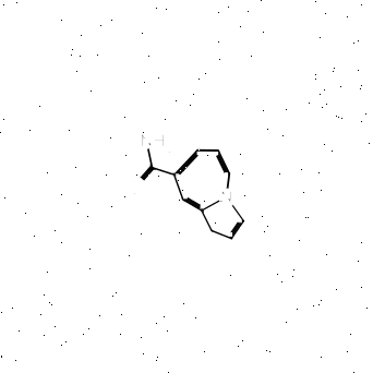 NC(=O)C1=CC=CN2C=CCC2=C1